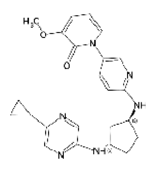 COc1cccn(-c2ccc(N[C@H]3CC[C@H](Nc4cnc(C5CC5)cn4)C3)nc2)c1=O